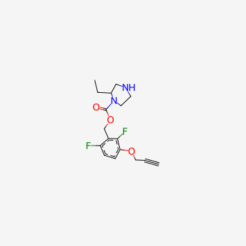 C#CCOc1ccc(F)c(COC(=O)N2CCNCC2CC)c1F